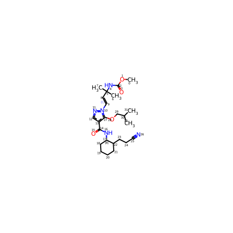 COC(=O)NC(C)(C)/C=C/n1ncc(C(=O)N[C@@H]2CCCCC2CCC#N)c1OCC(C)C